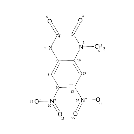 CN1C(=O)C(=O)[N]c2cc([N+](=O)[O-])c([N+](=O)[O-])cc21